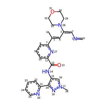 C=N/C=C(\C=C(/C)c1cccc(C(=O)Nc2cn(C)nc2-c2ccccn2)n1)N1CCOCC1